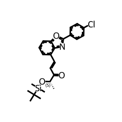 C[C@H](O[Si](C)(C)C(C)(C)C)C(=O)C=Cc1cccc2oc(-c3ccc(Cl)cc3)nc12